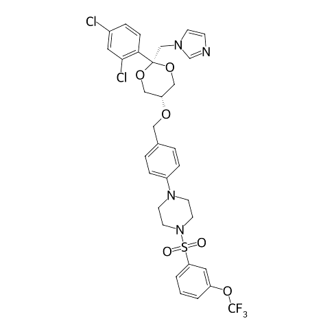 O=S(=O)(c1cccc(OC(F)(F)F)c1)N1CCN(c2ccc(CO[C@H]3CO[C@](Cn4ccnc4)(c4ccc(Cl)cc4Cl)OC3)cc2)CC1